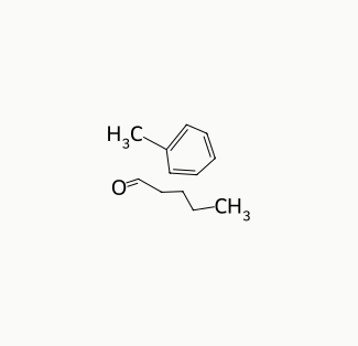 CCCCC=O.Cc1ccccc1